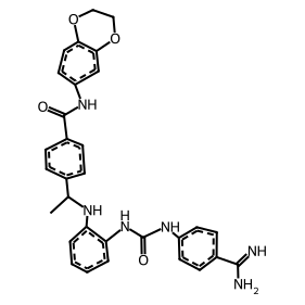 CC(Nc1ccccc1NC(=O)Nc1ccc(C(=N)N)cc1)c1ccc(C(=O)Nc2ccc3c(c2)OCCO3)cc1